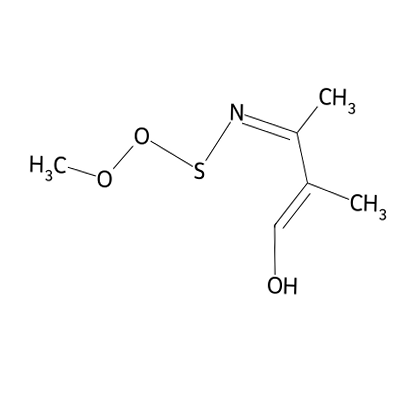 COOS/N=C(C)\C(C)=C\O